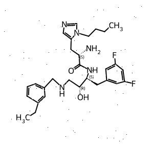 CCCCn1cncc1C[C@H](N)C(=O)N[C@@H](Cc1cc(F)cc(F)c1)[C@H](O)CNCc1cccc(CC)c1